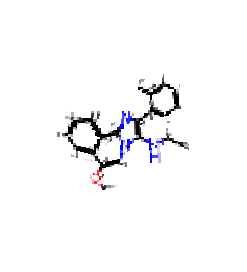 CCNc1c(-c2ccccc2C)nc2c3ccccc3c(OC)cn12